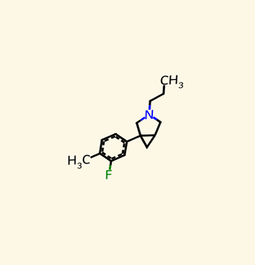 CCCN1CC2CC2(c2ccc(C)c(F)c2)C1